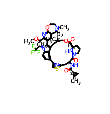 CO[C@@H](C)c1nc2c(cc1-c1c3c4cc(ccc4n1CC(F)(F)F)-c1csc(n1)C[C@H](NC(=O)[C@H]1C[C@@H]1C)C(=O)N1CCC[C@H](N1)C(=O)OCC(C)(C)C3)CN(C)CCO2